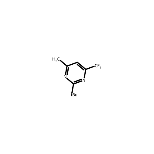 Cc1cc(C(F)(F)F)nc(C(C)(C)C)n1